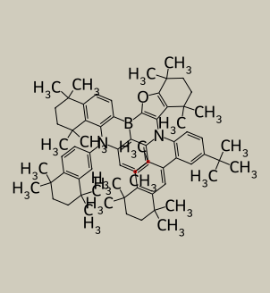 Cc1cc2c3c(c1)N(c1ccc(C(C)(C)C)cc1-c1cc4c(cc1C)C(C)(C)CCC4(C)C)c1c(oc4c1C(C)(C)CCC4(C)C)B3c1ccc3c(c1N2c1ccc2c(c1)C(C)(C)CCC2(C)C)C(C)(C)CCC3(C)C